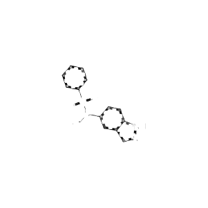 O=S(=O)(c1ccccc1)N(Cl)c1ccc2[nH]ncc2c1